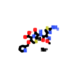 CO/N=C(\C(=O)N[C@@H]1C(=O)N2C(C(=O)[O-])=C(OCc3ccccn3)CS[C@@H]12)c1csc(N)n1.[Na+]